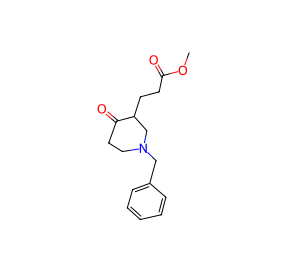 COC(=O)CCC1CN(Cc2ccccc2)CCC1=O